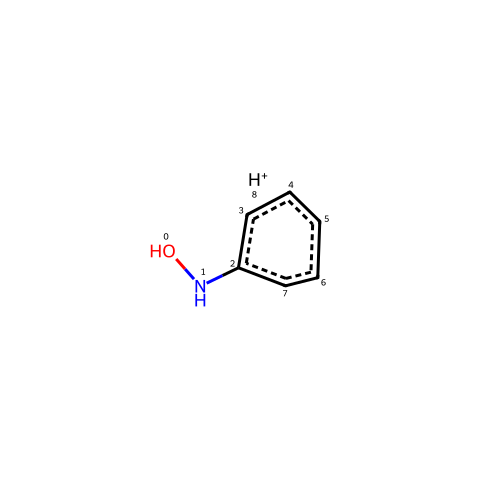 ONc1ccccc1.[H+]